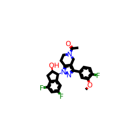 COc1cc(-c2nn([C@@H]3c4cc(F)cc(F)c4C[C@H]3O)c3c2CN(C(C)=O)CC3)ccc1F